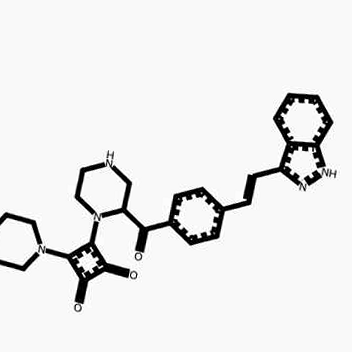 O=C(c1ccc(C=Cc2n[nH]c3ccccc23)cc1)C1CNCCN1c1c(N2CCCCC2)c(=O)c1=O